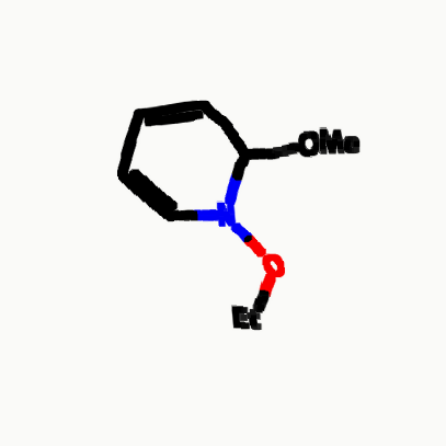 CCON1C=CC=CC1OC